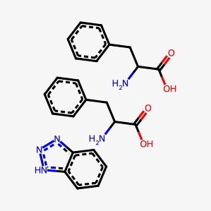 NC(Cc1ccccc1)C(=O)O.NC(Cc1ccccc1)C(=O)O.c1ccc2[nH]nnc2c1